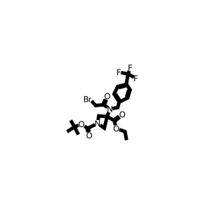 CCOC(=O)C1(N(Cc2ccc(C(F)(F)F)cc2)C(=O)CBr)CN(C(=O)OC(C)(C)C)C1